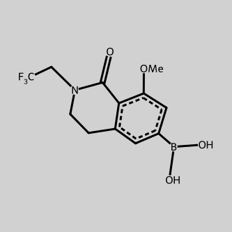 COc1cc(B(O)O)cc2c1C(=O)N(CC(F)(F)F)CC2